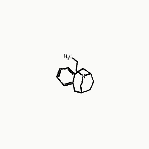 CCCN1CC2CCC1Cc1ccccc1C2